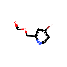 O=COCc1cc(Br)ccn1